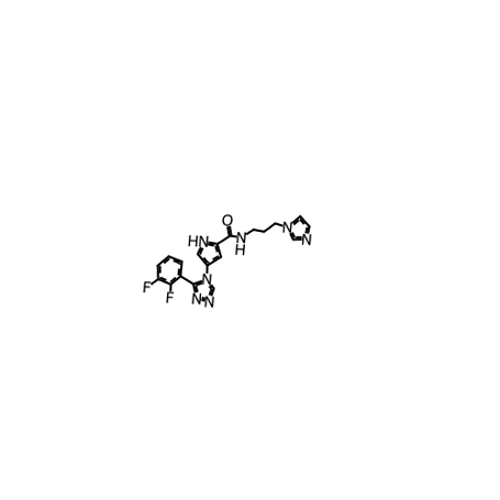 O=C(NCCCn1ccnc1)c1cc(-n2cnnc2-c2cccc(F)c2F)c[nH]1